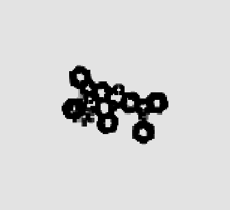 CC1(C)c2ccccc2B2c3cc4c(cc3Oc3cc5c6ccccc6n(-c6ccccc6)c5c1c32)c1ccccc1n4-c1ccccc1